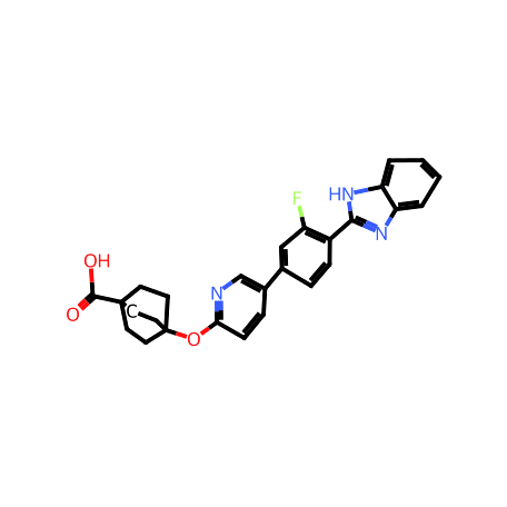 O=C(O)C12CCC(Oc3ccc(-c4ccc(-c5nc6ccccc6[nH]5)c(F)c4)cn3)(CC1)CC2